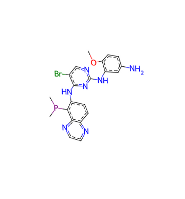 COc1ccc(N)cc1Nc1ncc(Br)c(Nc2ccc3nccnc3c2P(C)C)n1